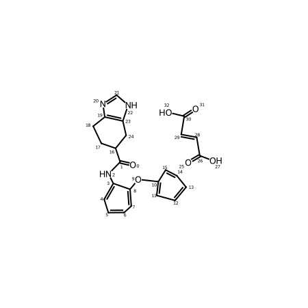 O=C(Nc1ccccc1Oc1ccccc1)C1CCc2nc[nH]c2C1.O=C(O)C=CC(=O)O